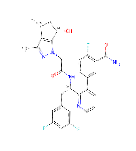 C[C@@H]1C[C@H](O)c2c1c(C(F)(F)F)nn2CC(=O)N[C@@H](Cc1cc(F)cc(F)c1)c1ncccc1-c1ccc(F)c(C(N)=O)c1